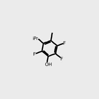 Cc1c(F)c(F)c(O)c(F)c1C(C)C